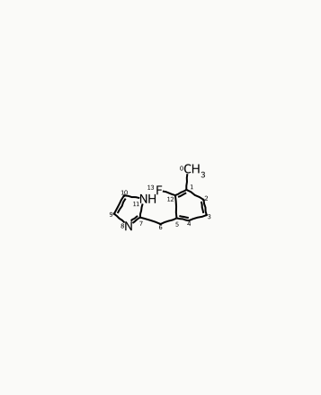 Cc1cccc(Cc2ncc[nH]2)c1F